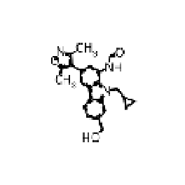 Cc1noc(C)c1-c1cc(NC=O)c2c(c1)c1ccc(CO)cc1n2CC1CC1